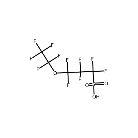 O=S(=O)(O)C(F)(F)C(F)(F)C(F)(F)OC(F)(F)C(F)(F)F